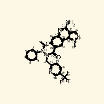 CC(=O)N(c1ccccc1)N(Cc1ccc(C(F)(F)F)cn1)C(=O)c1ccc2nc(N)c3cnn(C)c3c2c1